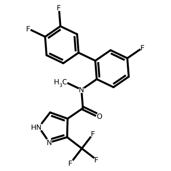 CN(C(=O)c1c[nH]nc1C(F)(F)F)c1ccc(F)cc1-c1ccc(F)c(F)c1